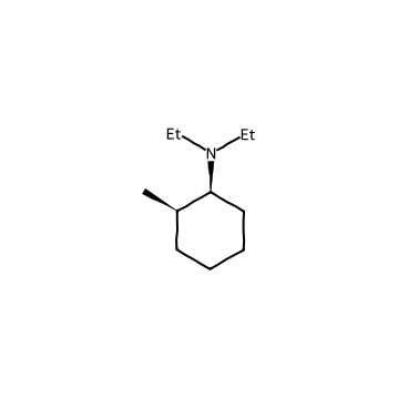 CCN(CC)[C@H]1CCCC[C@H]1C